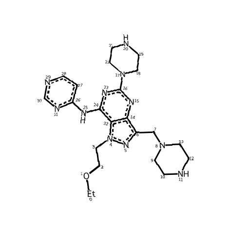 CCOCCn1nc(CN2CCNCC2)c2nc(N3CCNCC3)nc(Nc3ccncn3)c21